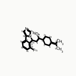 CC(C)=C1CCC(C(O)CC2c3c(F)cccc3-c3cncn32)CC1